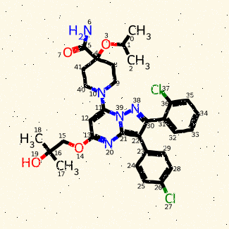 CC(C)OC1(C(N)=O)CCN(c2cc(OCC(C)(C)O)nc3c(-c4ccc(Cl)cc4)c(-c4ccccc4Cl)nn23)CC1